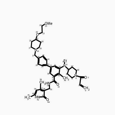 C=CC(=O)N1CCC(N(CC)c2cc(-c3ccc(CN4CCC(OCCOC)CC4)cc3)cc(C(=O)NCc3c(C)cc(C)[nH]c3=O)c2C)CC1